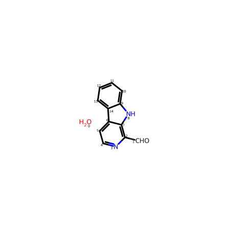 O.O=Cc1nccc2c1[nH]c1ccccc12